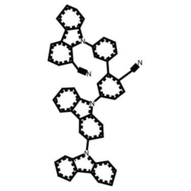 N#Cc1ccc(-n2c3ccccc3c3cc(-n4c5ccccc5c5ccccc54)ccc32)cc1-c1cccc(-n2c3ccccc3c3cccc(C#N)c32)c1